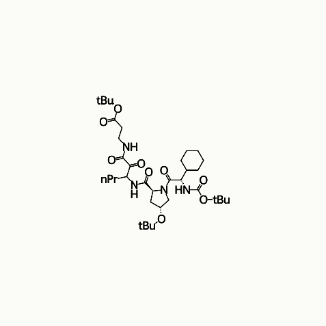 CCCC(NC(=O)[C@@H]1C[C@@H](OC(C)(C)C)CN1C(=O)[C@@H](NC(=O)OC(C)(C)C)C1CCCCC1)C(=O)C(=O)NCCC(=O)OC(C)(C)C